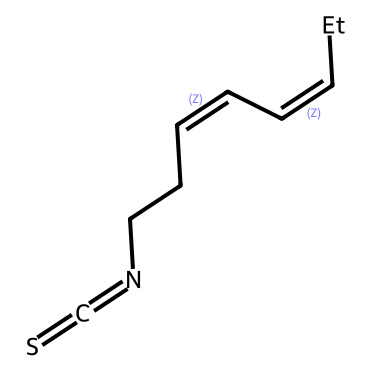 CC/C=C\C=C/CCN=C=S